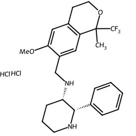 COc1cc2c(cc1CN[C@H]1CCCN[C@H]1c1ccccc1)C(C)(C(F)(F)F)OCC2.Cl.Cl